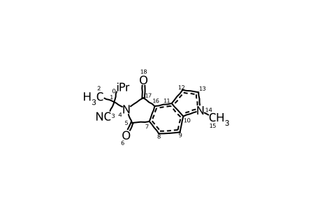 CC(C)C(C)(C#N)N1C(=O)c2ccc3c(ccn3C)c2C1=O